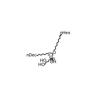 CCCCCC/C=C/CCCCCCCCOC(COP(=O)(O)CCC(O)CO)CSCCCCCCCCCCCCCCCC